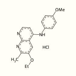 CCOc1cc2c(Nc3ccc(OC)cc3)ccnc2nc1C.Cl